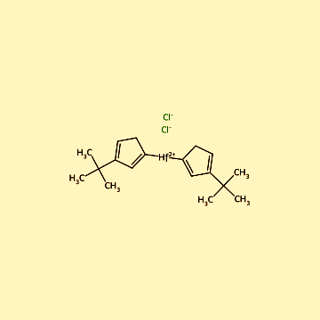 CC(C)(C)C1=CC[C]([Hf+2][C]2=CC(C(C)(C)C)=CC2)=C1.[Cl-].[Cl-]